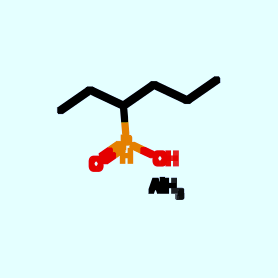 CCCC(CC)[PH](=O)O.[AlH3]